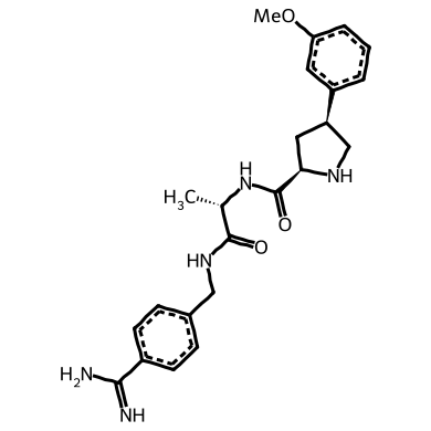 COc1cccc([C@H]2CN[C@@H](C(=O)N[C@@H](C)C(=O)NCc3ccc(C(=N)N)cc3)C2)c1